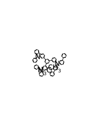 CC1(C)c2ccccc2-c2ccc(N(c3cccc(-c4ccccc4)c3)c3cccc(-c4cc(-c5ccc6c7ccccc7n(-c7ccccc7)c6c5)cc(-c5ccc6c7ccccc7n(-c7ccccc7)c6c5)c4)c3)cc21